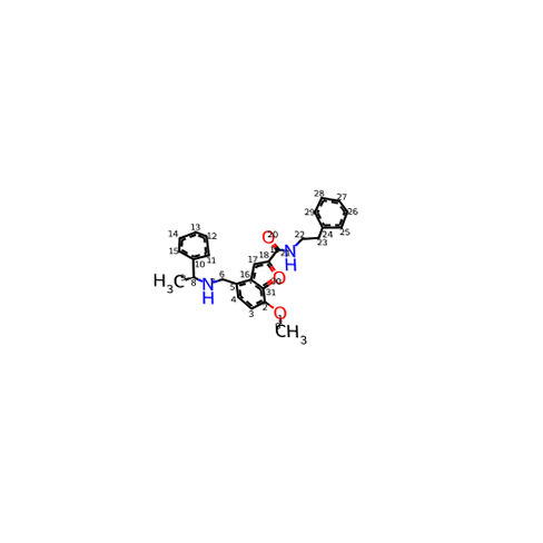 COc1ccc(CN[C@@H](C)c2ccccc2)c2cc(C(=O)NCCc3ccccc3)oc12